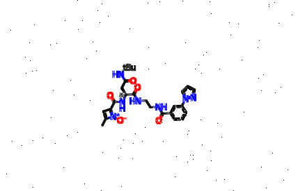 CC1=CC(C(=O)N[C@@H](CC(=O)NC(C)(C)C)C(=O)NCCNC(=O)c2cccc(-n3cccn3)c2)=[N+]1[O-]